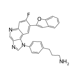 NCCCc1ccc(-n2cnc3cnc4cc(F)c(-c5cc6ccccc6o5)cc4c32)cc1